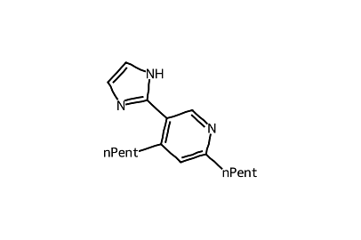 CCCCCc1cc(CCCCC)c(-c2ncc[nH]2)cn1